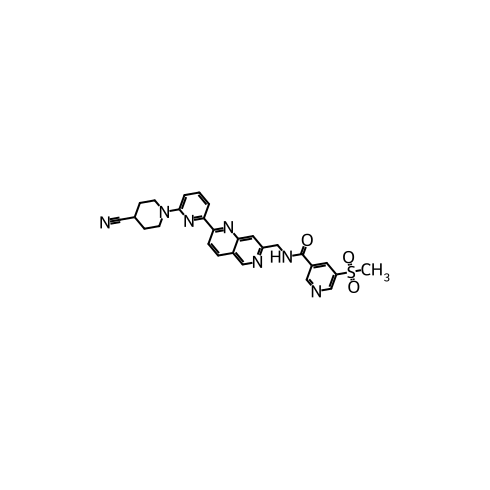 CS(=O)(=O)c1cncc(C(=O)NCc2cc3nc(-c4cccc(N5CCC(C#N)CC5)n4)ccc3cn2)c1